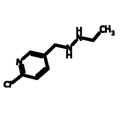 CCNNCc1ccc(Cl)nc1